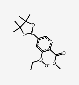 CC[S+]([O-])c1cc(B2OC(C)(C)C(C)(C)O2)cnc1C(=O)OC